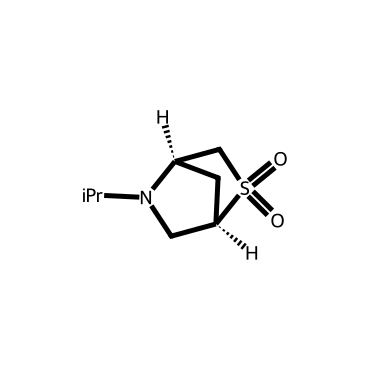 CC(C)N1C[C@H]2C[C@@H]1CS2(=O)=O